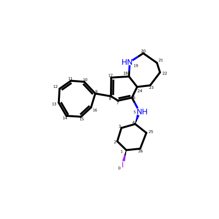 I[C@H]1CC[C@@H](NC2=CC(C3=C/C=C\C=C/C=C\3)=CC3NCCCCC23)CC1